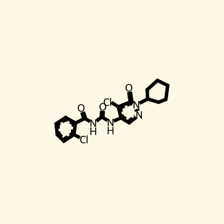 O=C(NC(=O)c1ccccc1Cl)Nc1cnn(C2CCCCC2)c(=O)c1Cl